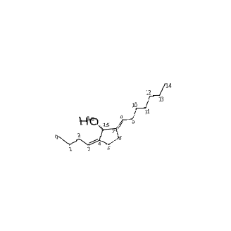 CCCC=C1CCC(=CCCCCCC)C1O